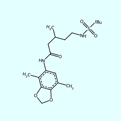 Cc1cc(NC(=O)CC(C)CCNS(=O)(=O)C(C)(C)C)c(C)c2c1OCO2